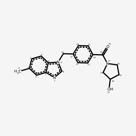 Cc1ccc2c(c1)ncn2Cc1ccc(C(=O)N2CCC(O)C2)cc1